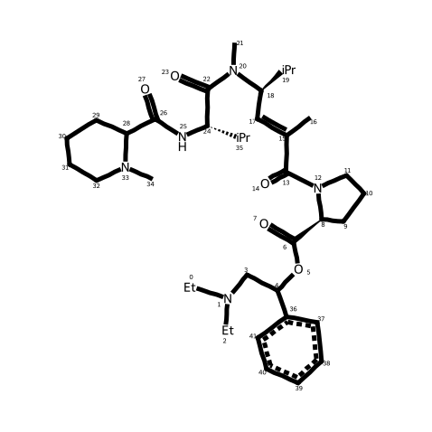 CCN(CC)CC(OC(=O)[C@@H]1CCCN1C(=O)/C(C)=C/[C@H](C(C)C)N(C)C(=O)[C@@H](NC(=O)C1CCCCN1C)C(C)C)c1ccccc1